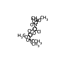 CCOC(=O)CN(C(=O)OCC)c1cc(Cl)c(Oc2ccc(OC)c(C(=O)N(CC)CC)c2)c(Cl)c1